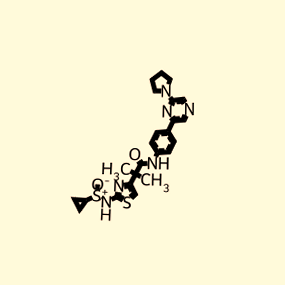 CC(C)(C(=O)Nc1ccc(-c2cncc(N3CCCC3)n2)cc1)c1csc(N[S+]([O-])C2CC2)n1